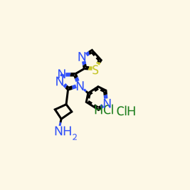 Cl.Cl.NC1CC(c2nnc(-c3nccs3)n2-c2ccncc2)C1